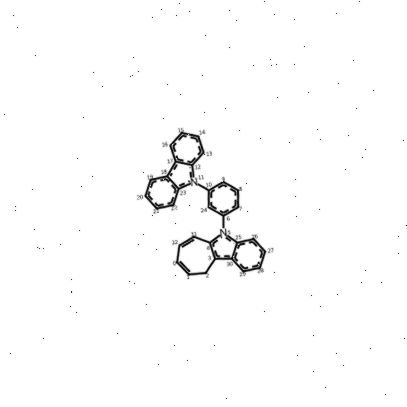 C1=CCc2c(n(-c3cccc(-n4c5ccccc5c5ccccc54)c3)c3ccccc23)C=C1